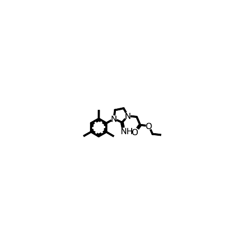 CCOC(=O)CN1CCN(c2c(C)cc(C)cc2C)C1=N